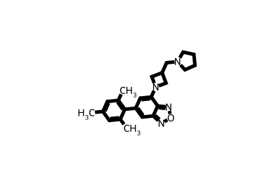 Cc1cc(C)c(-c2cc(N3CC(CN4CCCC4)C3)c3nonc3c2)c(C)c1